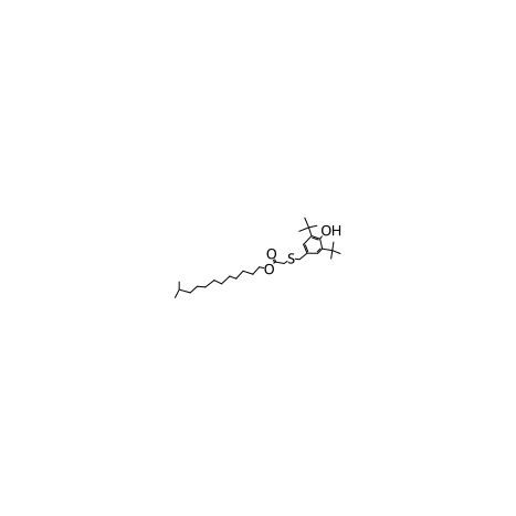 CC(C)CCCCCCCCCCOC(=O)CSCc1cc(C(C)(C)C)c(O)c(C(C)(C)C)c1